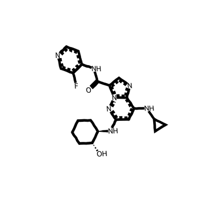 O=C(Nc1ccncc1F)c1cnc2c(NC3CC3)cc(N[C@@H]3CCCC[C@H]3O)nn12